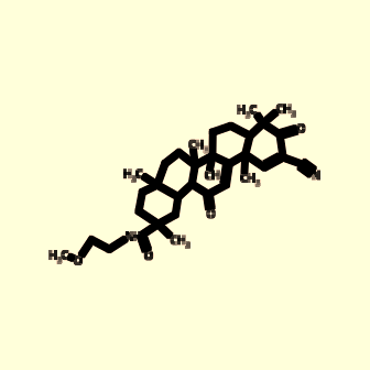 COCCNC(=O)C1(C)CCC2(C)CCC3(C)C(C(=O)C=C4C5(C)C=C(C#N)C(=O)C(C)(C)C5CCC43C)C2C1